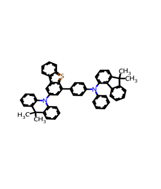 CC1(C)c2ccccc2N(c2cc(-c3ccc(N(c4ccccc4)c4cccc5c4-c4ccccc4C5(C)C)cc3)c3sc4ccccc4c3c2)c2ccccc21